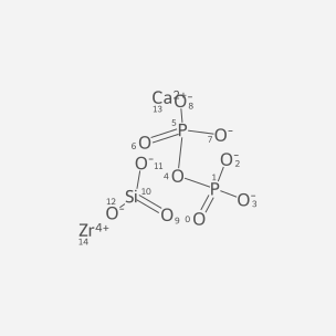 O=P([O-])([O-])OP(=O)([O-])[O-].O=[Si]([O-])[O-].[Ca+2].[Zr+4]